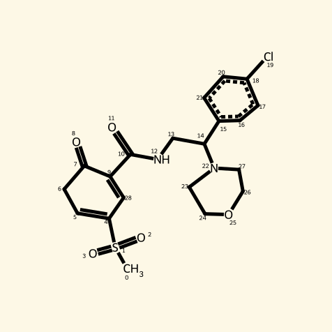 CS(=O)(=O)C1=CCC(=O)C(C(=O)NCC(c2ccc(Cl)cc2)N2CCOCC2)=C1